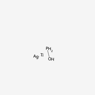 OP.[Ag].[Ti]